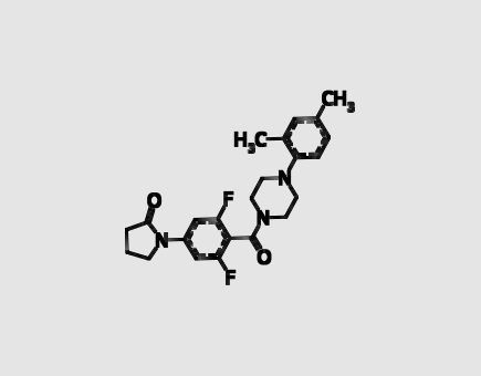 Cc1ccc(N2CCN(C(=O)c3c(F)cc(N4CCCC4=O)cc3F)CC2)c(C)c1